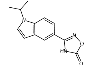 CC(C)n1ccc2cc(-c3noc(=O)[nH]3)ccc21